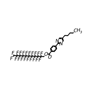 CCCCCc1cnc(-c2ccc(C(=O)OCC(F)(F)C(F)(F)C(F)(F)C(F)(F)C(F)(F)C(F)(F)C(F)(F)C(F)(F)C(F)(F)C(F)F)cc2)nc1